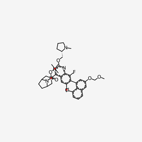 COCOc1cc(-c2c(Cl)cc3c(N4CC5CCC(C4)N5C(=O)OC(C)(C)C)nc(OC[C@@H]4CCCN4C)nc3c2F)c2c(F)cccc2c1